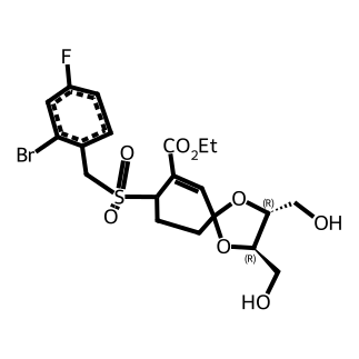 CCOC(=O)C1=CC2(CCC1S(=O)(=O)Cc1ccc(F)cc1Br)O[C@H](CO)[C@@H](CO)O2